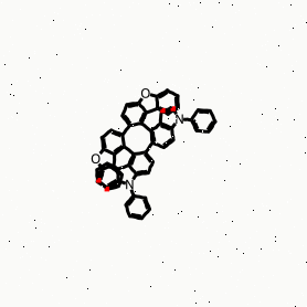 c1ccc(-n2c3ccccc3c3c4c(ccc32)-c2ccc3c(c2-c2c(ccc5oc6ccccc6c25)-c2ccc5oc6ccccc6c5c2-4)c2ccccc2n3-c2ccccc2)cc1